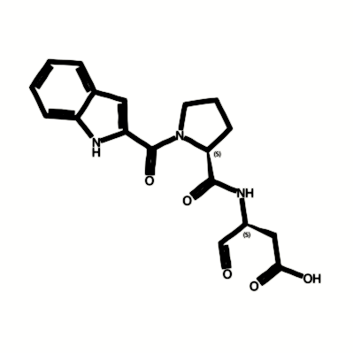 O=C[C@H](CC(=O)O)NC(=O)[C@@H]1CCCN1C(=O)c1cc2ccccc2[nH]1